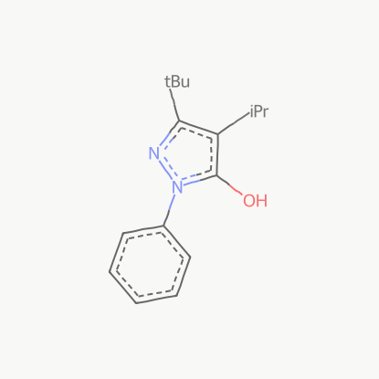 CC(C)c1c(C(C)(C)C)nn(-c2ccccc2)c1O